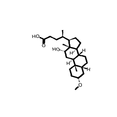 CO[C@@H]1CC[C@@]2(C)[C@H](CC[C@@H]3[C@@H]2C[C@H](O)[C@]2(C)[C@@H]([C@H](C)CCC(=O)O)CC[C@@H]32)C1